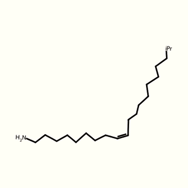 CC(C)CCCCCCCC/C=C\CCCCCCCCN